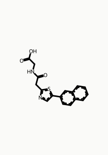 O=C(O)CNC(=O)Cc1ncc(-c2ccc3ccccc3c2)s1